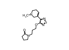 CN1CCC=C(c2nsnc2OCCCN2CCCC2=O)C1